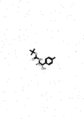 Cc1ccc([C@H](O)[C@@H](C)NC(=O)OC(C)(C)C)cc1